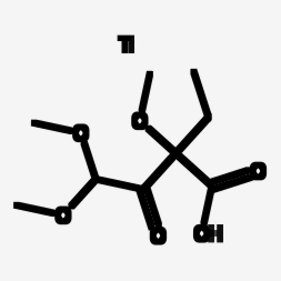 CCC(OC)(C(=O)O)C(=O)C(OC)OC.[Ti]